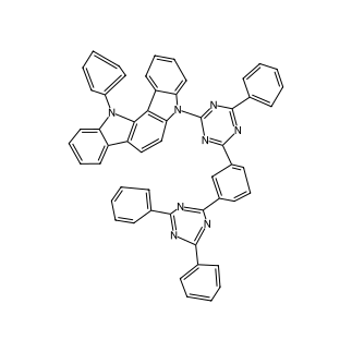 c1ccc(-c2nc(-c3ccccc3)nc(-c3cccc(-c4nc(-c5ccccc5)nc(-n5c6ccccc6c6c5ccc5c7ccccc7n(-c7ccccc7)c56)n4)c3)n2)cc1